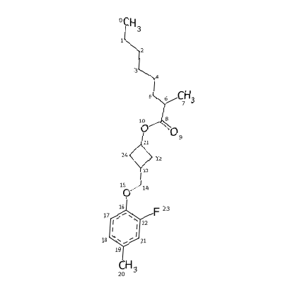 CCCCCCC(C)C(=O)OC1CC(COc2ccc(C)cc2F)C1